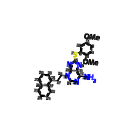 COc1ccc(OC)c(Sc2nc3c(N)ncn(CCc4cccc5ccccc45)c-3n2)c1